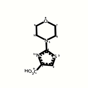 O=C(O)c1csc(N2CCOCC2)n1